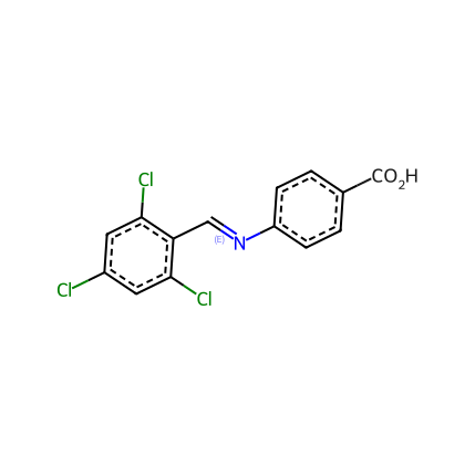 O=C(O)c1ccc(/N=C/c2c(Cl)cc(Cl)cc2Cl)cc1